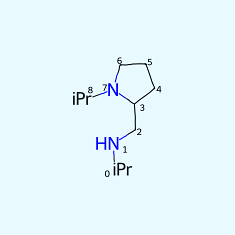 CC(C)NCC1CCCN1C(C)C